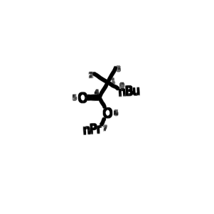 CCCCC(C)(C)C(=O)OCCC